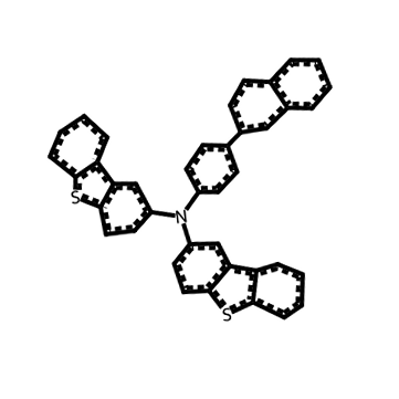 c1ccc2cc(-c3ccc(N(c4ccc5sc6ccccc6c5c4)c4ccc5sc6ccccc6c5c4)cc3)ccc2c1